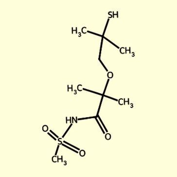 CC(C)(S)COC(C)(C)C(=O)NS(C)(=O)=O